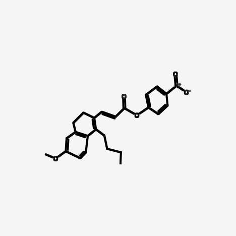 CCCCC1=C(C=CC(=O)Oc2ccc([N+](=O)[O-])cc2)CCc2cc(OC)ccc21